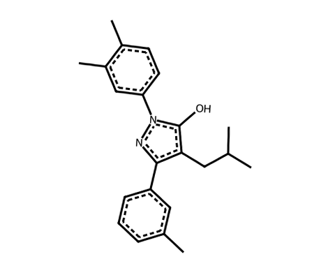 Cc1cccc(-c2nn(-c3ccc(C)c(C)c3)c(O)c2CC(C)C)c1